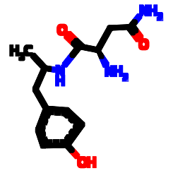 CC(Cc1ccc(O)cc1)NC(=O)[C@H](N)CC(N)=O